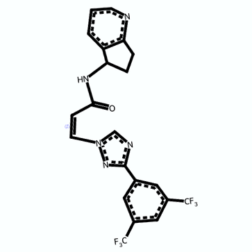 O=C(/C=C\n1cnc(-c2cc(C(F)(F)F)cc(C(F)(F)F)c2)n1)NC1CCc2ncccc21